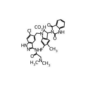 Cc1cc2c(cc1F)N(Cc1cc3c(NC(=O)CN(C)C)n[nH]c3cc1Cl)C(C(=O)O)C2n1c(=O)[nH]c2ccccc2c1=O